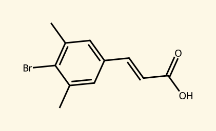 Cc1cc(/C=C/C(=O)O)cc(C)c1Br